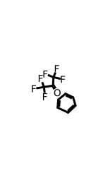 O=C(C(F)(F)F)C(F)(F)F.c1ccccc1